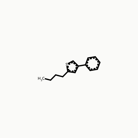 CCCCc1cc(-c2ccccc2)cs1